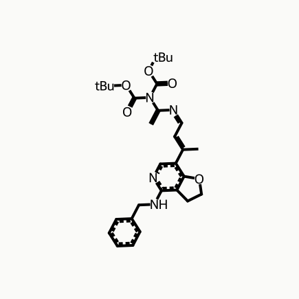 C=C(/N=C\C=C(/C)c1cnc(NCc2ccccc2)c2c1OCC2)N(C(=O)OC(C)(C)C)C(=O)OC(C)(C)C